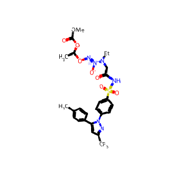 CCN(CC(=O)NS(=O)(=O)c1ccc(-n2nc(C(F)(F)F)cc2-c2ccc(C)cc2)cc1)/[N+]([O-])=N/OC(C)OC(=O)OC